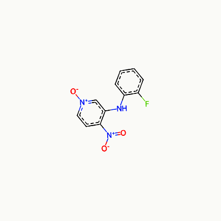 O=[N+]([O-])c1cc[n+]([O-])cc1Nc1ccccc1F